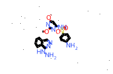 COc1cc(NS(=O)(=O)c2ccc(N)cc2)nc(OC)n1.NNc1nncc2ccccc12